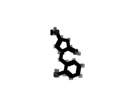 O=C1CC(O)=CN1Cc1ccccc1Cl